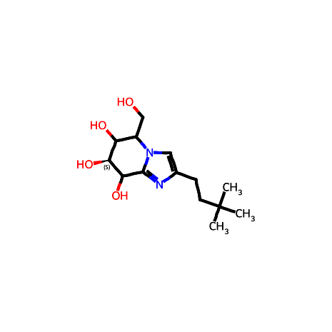 CC(C)(C)CCc1cn2c(n1)C(O)[C@@H](O)C(O)C2CO